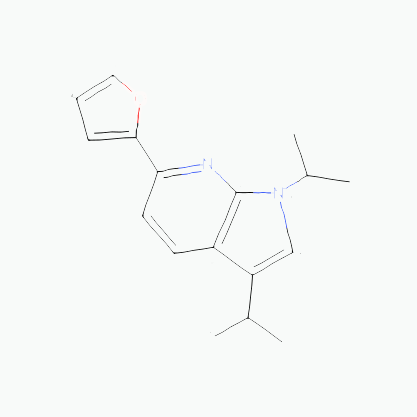 CC(C)c1cn(C(C)C)c2nc(-c3ccco3)ccc12